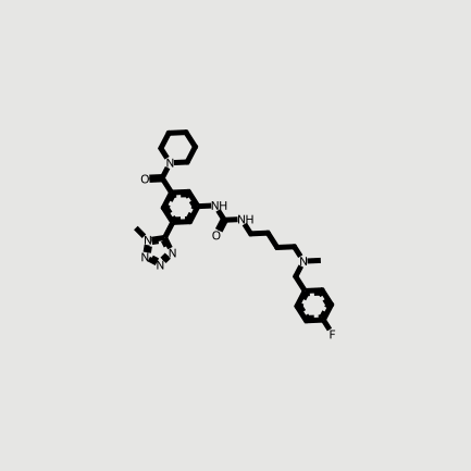 CN(CCCCNC(=O)Nc1cc(C(=O)N2CCCCC2)cc(-c2nnnn2C)c1)Cc1ccc(F)cc1